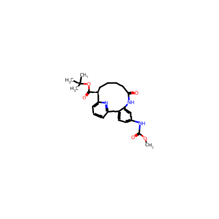 COC(=O)Nc1ccc2c(c1)NC(=O)CCCCC(C(=O)OC(C)(C)C)c1cccc-2n1